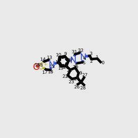 CCCCN1CCN(c2ccc(N3CC[S+]([O-])CC3)cc2C2CCC(C(C)(C)C)CC2)CC1